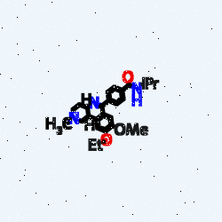 CCOc1cc2c(cc1OC)C(c1ccc(C(=O)NC(C)C)cc1)=N[C@@H]1CCN(C)C[C@H]21